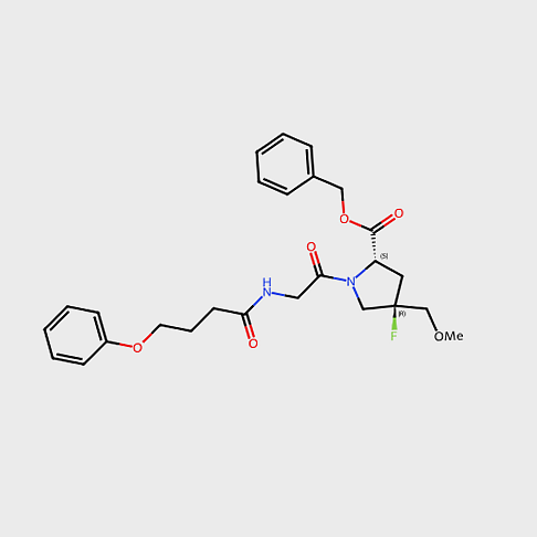 COC[C@@]1(F)C[C@@H](C(=O)OCc2ccccc2)N(C(=O)CNC(=O)CCCOc2ccccc2)C1